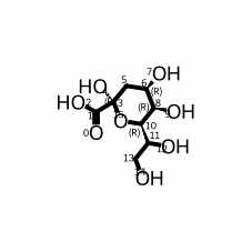 O=C(O)[C@@]1(O)C[C@@H](O)[C@@H](O)[C@@H](C(O)CO)O1